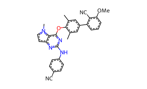 COc1cccc(-c2cc(C)c(Oc3nc(Nc4ccc(C#N)cc4)nc4ccn(C)c34)c(C)c2)c1C#N